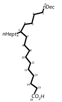 CCCCCCCCCCCCCCC(CCCCCCC)CCCCCCCCCC(=O)O